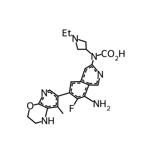 CCN1CC(N(C(=O)O)c2cc3cc(-c4cnc5c(c4C)NCCO5)c(F)c(N)c3cn2)C1